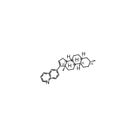 C[C@H]1CC[C@H]2[C@@H](CC[C@@H]3[C@@H]2CC[C@]2(C)C(c4ccc5ncccc5c4)=CC[C@@H]32)C1